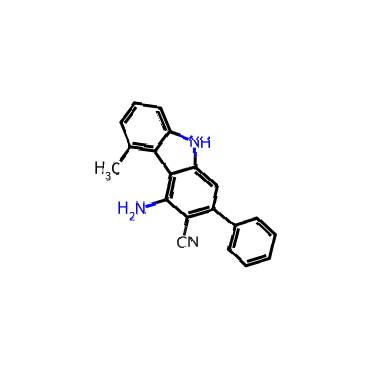 Cc1cccc2[nH]c3cc(-c4ccccc4)c(C#N)c(N)c3c12